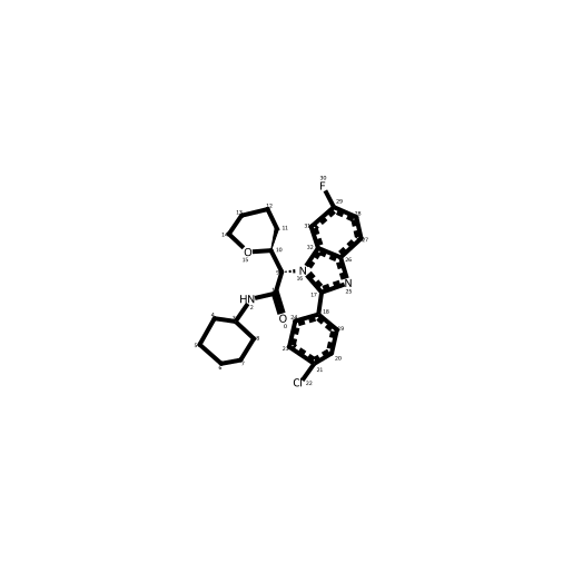 O=C(NC1CCCCC1)[C@H]([C@@H]1CCCCO1)n1c(-c2ccc(Cl)cc2)nc2ccc(F)cc21